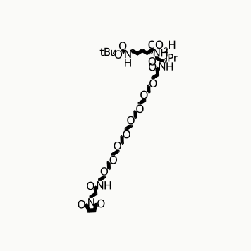 CC(C)[C@H](NC(=O)CCOCCOCCOCCOCCOCCOCCOCCOCCNC(=O)CCN1C(=O)C=CC1=O)C(=O)N[C@@H](CCCCNC(=O)OC(C)(C)C)C(=O)O